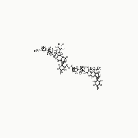 CCCn1cc(S(=O)(=O)N2CCC(C(=O)N3CCCC3)(c3cc4cnn(-c5ccc(F)cc5CCCn5cc(S(=O)(=O)N6CCC(C(=O)OCC)(c7ccc8c(cnn8-c8ccc(F)cc8)c7)CC6)cn5)c4cc3C)CC2)cn1